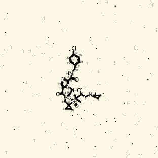 CC(C)(C(O)CNC1CC1)S(=O)(=O)C1(CN2CCn3c(cnc3C(=O)NCc3ccc(Cl)cc3)C2=O)CC1